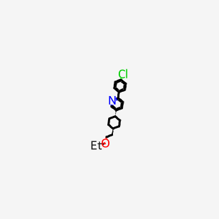 CCOCC[C@H]1CC[C@H](c2ccc(-c3ccc(Cl)cc3)nc2)CC1